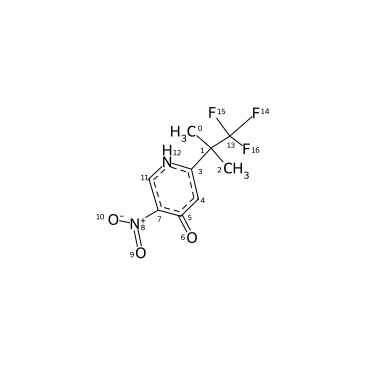 CC(C)(c1cc(=O)c([N+](=O)[O-])c[nH]1)C(F)(F)F